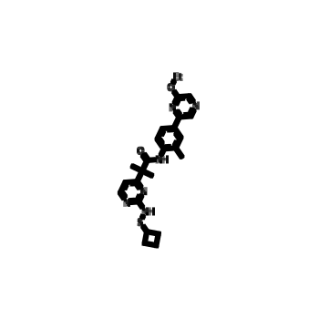 CCOc1cncc(-c2ccc(NC(=O)C(C)(C)c3ccnc(NSC4CCC4)n3)c(C)c2)n1